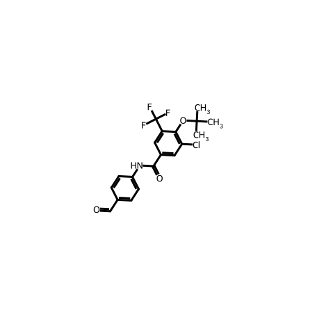 CC(C)(C)Oc1c(Cl)cc(C(=O)Nc2ccc(C=O)cc2)cc1C(F)(F)F